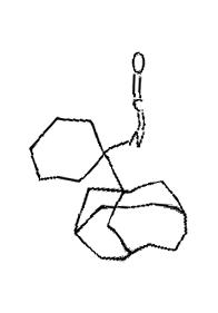 O=C=NC1(C23CC4CC(CC(C4)C2)C3)CCCCC1